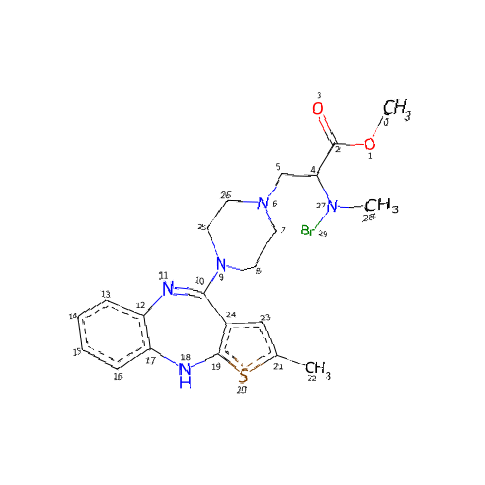 COC(=O)C(CN1CCN(C2=Nc3ccccc3Nc3sc(C)cc32)CC1)N(C)Br